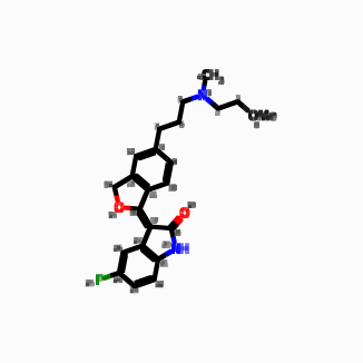 COCCN(C)CCCc1ccc2c(c1)COC2=C1C(=O)Nc2ccc(F)cc21